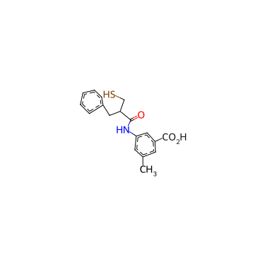 Cc1cc(NC(=O)C(CS)Cc2ccccc2)cc(C(=O)O)c1